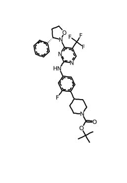 CC(C)(C)OC(=O)N1CCC(c2ccc(Nc3ncc(C(F)(F)F)c(N4OCC[C@H]4c4ccccc4)n3)cc2F)CC1